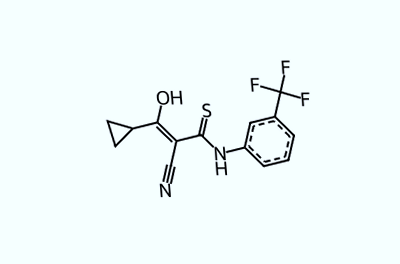 N#C/C(C(=S)Nc1cccc(C(F)(F)F)c1)=C(/O)C1CC1